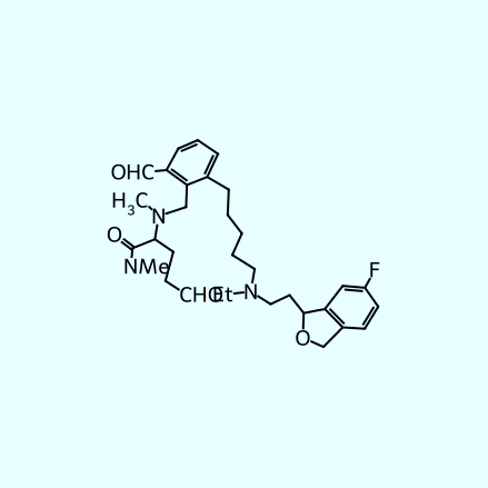 CCN(CCCCCc1cccc(C=O)c1CN(C)C(CCC=O)C(=O)NC)CCC1OCc2ccc(F)cc21